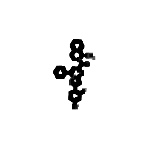 C[C@@H]1c2ccccc2CCN1C(=O)c1cc(-c2ccccc2)n2nc(-c3ccc(Br)cc3F)cc2n1